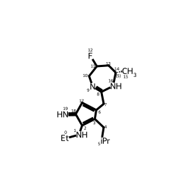 CCNC1=C(CC(C)C)C(CC2=NCC(F)C[C@H](C)N2)=CC1=N